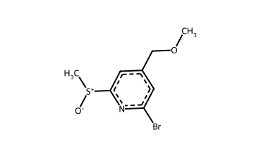 COCc1cc(Br)nc([S+](C)[O-])c1